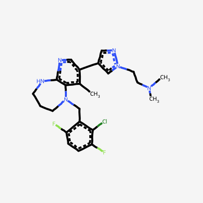 Cc1c(-c2cnn(CCN(C)C)c2)cnc2c1N(Cc1c(F)ccc(F)c1Cl)CCCN2